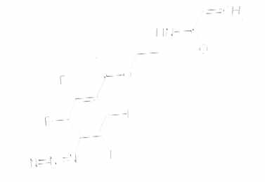 C=CC(=O)NCCOC(=O)c1c(F)c(F)c(N=[N+]=[N-])c(F)c1F